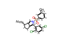 CNC1CCc2c1cn(S(=O)(=O)c1cccc(C)c1)c2-c1cc(Cl)ccc1Cl